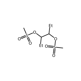 CCC(OS(C)(=O)=O)C(CC)OS(C)(=O)=O